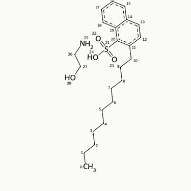 CCCCCCCCCCCc1ccc2ccccc2c1S(=O)(=O)O.NCCO